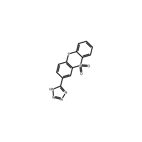 O=S1(=O)c2ccccc2Sc2ccc(-c3nnn[nH]3)cc21